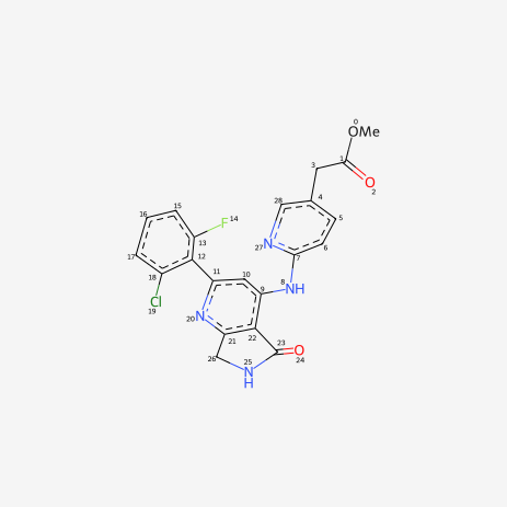 COC(=O)Cc1ccc(Nc2cc(-c3c(F)cccc3Cl)nc3c2C(=O)NC3)nc1